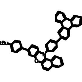 CC(C)(C)c1ccc(-c2ccc3c(c2)Oc2ccc4ccccc4c2N3c2ccc(-c3ccc4c5ccccc5c5ccccc5c4c3)cc2)cc1